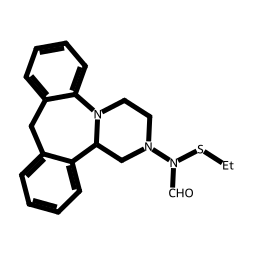 CCSN(C=O)N1CCN2c3ccccc3Cc3ccccc3C2C1